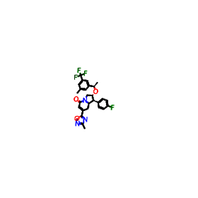 Cc1cc([C@@H](C)O[C@H]2CN3C(=O)C=C(c4nc(C)no4)CC3[C@@H]2c2ccc(F)cc2)cc(C(F)(F)F)c1